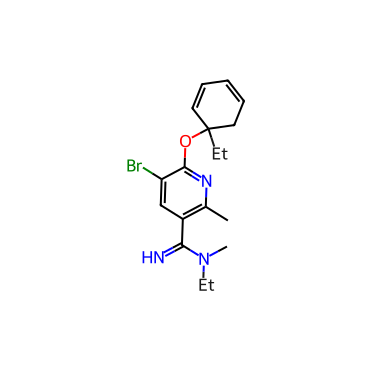 CCN(C)C(=N)c1cc(Br)c(OC2(CC)C=CC=CC2)nc1C